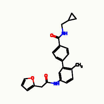 Cc1ccc(NC(=O)Cc2ccco2)cc1-c1ccc(C(=O)NCC2CC2)cc1